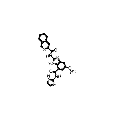 CCCOc1cc(C(=O)Nc2ncc[nH]2)c2[nH]c(NC(=O)c3cc4ccccc4cn3)nc2c1